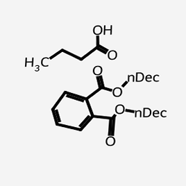 CCCC(=O)O.CCCCCCCCCCOC(=O)c1ccccc1C(=O)OCCCCCCCCCC